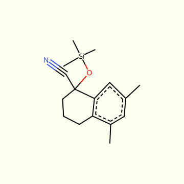 Cc1cc(C)c2c(c1)C(C#N)(O[Si](C)(C)C)CCC2